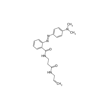 C=CCNC(=O)CCNC(=O)c1ccccc1/N=N/c1ccc(N(C)C)cc1